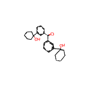 O=C(c1cccc(C2(O)CCCCC2)c1)c1cccc(C2(O)CCCCC2)c1